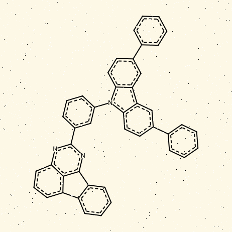 c1ccc(-c2ccc3c(c2)c2cc(-c4ccccc4)ccc2n3-c2cccc(-c3nc4c5c(cccc5n3)-c3ccccc3-4)c2)cc1